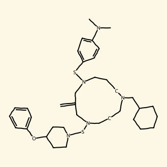 C=C1CN(Sc2ccc(N(C)C)cc2)CCCN(CC2CCCCC2)CCCN(SN2CCC(Oc3ccccc3)CC2)C1